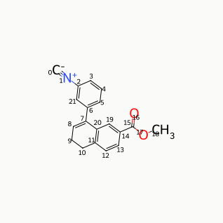 [C-]#[N+]c1cccc(C2=CCCc3ccc(C(=O)OC)cc32)c1